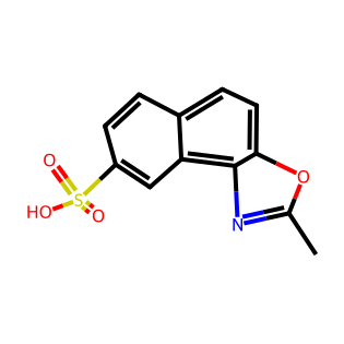 Cc1nc2c(ccc3ccc(S(=O)(=O)O)cc32)o1